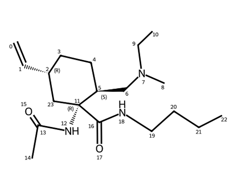 C=C[C@@H]1CC[C@@H](CN(C)CC)[C@@](NC(C)=O)(C(=O)NCCCC)C1